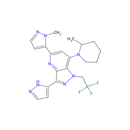 CC1CCCCN1c1cc(-c2ccnn2C)nc2c(-c3ccn[nH]3)nn(CC(F)(F)F)c12